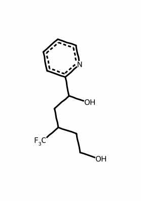 OCCC(CC(O)c1ccccn1)C(F)(F)F